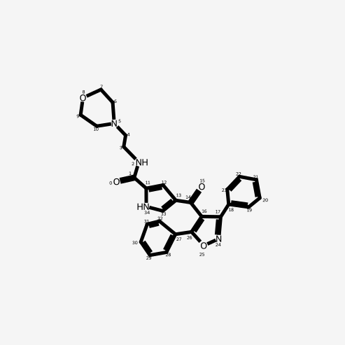 O=C(NCCN1CCOCC1)c1cc(C(=O)c2c(-c3ccccc3)noc2-c2ccccc2)c[nH]1